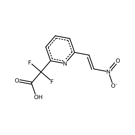 O=C(O)C(F)(F)c1cccc(C=C[N+](=O)[O-])n1